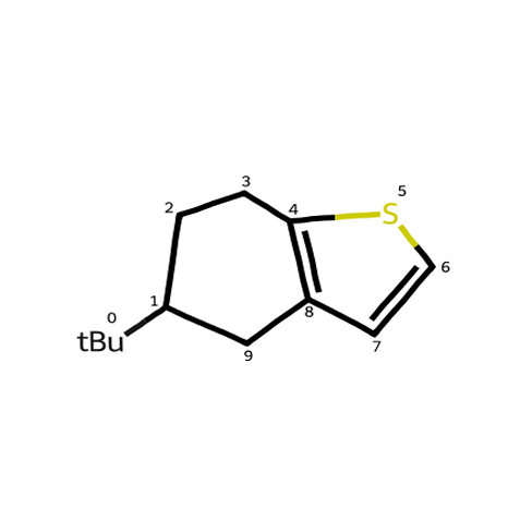 CC(C)(C)C1CCc2sccc2C1